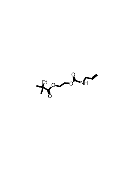 C=CCNC(=O)OCCOC(=O)C(C)(C)CC